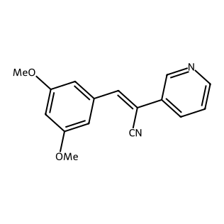 COc1cc(/C=C(\C#N)c2cccnc2)cc(OC)c1